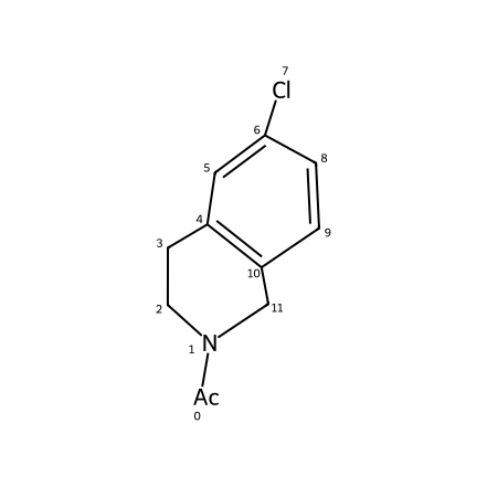 CC(=O)N1CCc2cc(Cl)ccc2C1